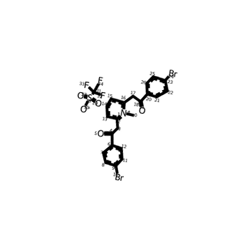 C[n+]1c(CC(=O)c2ccc(Br)cc2)cccc1CC(=O)c1ccc(Br)cc1.O=S(=O)([O-])C(F)(F)F